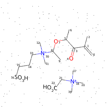 C=C(C)C(=O)C(C)OC(C)[N+](C)(C)CCCS(=O)(=O)O.C[N+](C)(C)CC(=O)O